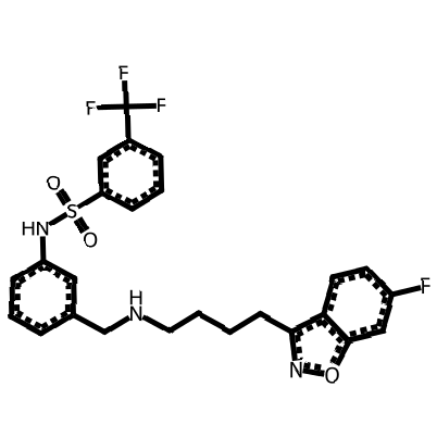 O=S(=O)(Nc1cccc(CNCCCCc2noc3cc(F)ccc23)c1)c1cccc(C(F)(F)F)c1